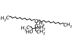 CCC(O)C(N)(CC)CC.CCCCCCCCCCCCOCCCCCCCCCCCC